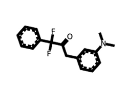 CN(C)c1cccc(CC(=O)C(F)(F)c2ccccc2)c1